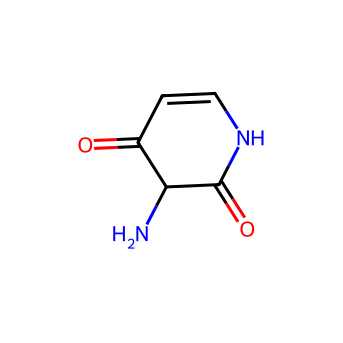 NC1C(=O)C=CNC1=O